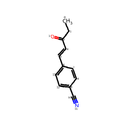 CCC(=O)/C=C/c1ccc(C#N)cc1